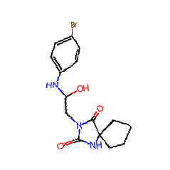 O=C1NC2(CCCC2)C(=O)N1CC(O)Nc1ccc(Br)cc1